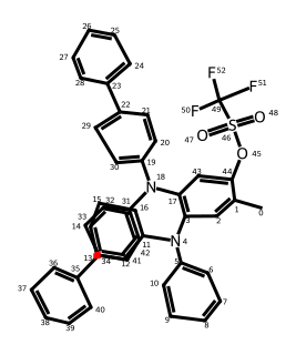 Cc1cc(N(c2ccccc2)c2ccccc2)c(N(c2ccc(-c3ccccc3)cc2)c2ccc(-c3ccccc3)cc2)cc1OS(=O)(=O)C(F)(F)F